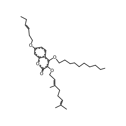 CCC=CCCOc1ccc2c(OCCCCCCCCCC)c(OC/C=C(\C)CCC=C(C)C)c(=O)oc2c1